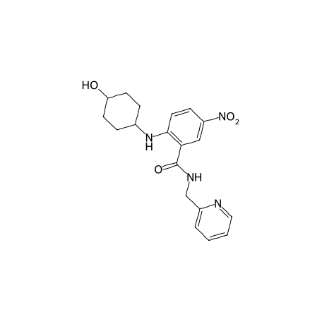 O=C(NCc1ccccn1)c1cc([N+](=O)[O-])ccc1NC1CCC(O)CC1